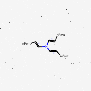 CCCCC/C=C/N(/C=C/CCCCC)/C=C/CCCCC